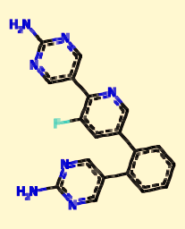 Nc1ncc(-c2ccccc2-c2cnc(-c3cnc(N)nc3)c(F)c2)cn1